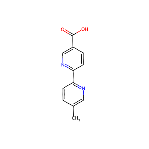 Cc1ccc(-c2ccc(C(=O)O)cn2)nc1